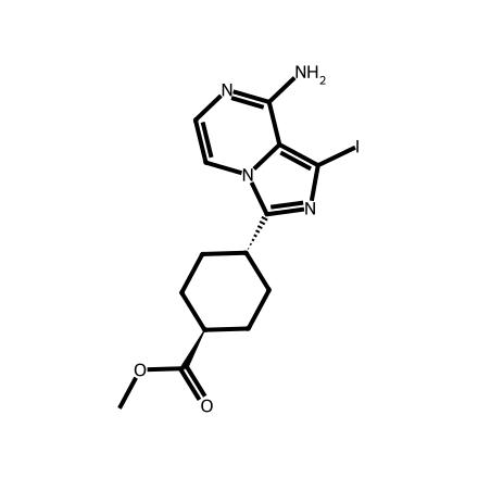 COC(=O)[C@H]1CC[C@H](c2nc(I)c3c(N)nccn32)CC1